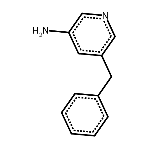 Nc1cncc(Cc2ccccc2)c1